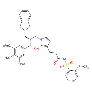 COc1cc([C@@H](O)[C@@H](CC2Cc3ccccc3C2)Cn2ccc(CCC(=O)NS(=O)(=O)c3ccccc3OC(F)(F)F)c2)cc(OC)c1C